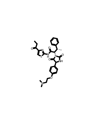 CCC(=O)c1csc(NC(=O)[C@H]([C@@H](C)c2ccccc2)N2C(=O)NC(c3ccc(OCCN(C)C)cc3)C2=O)n1